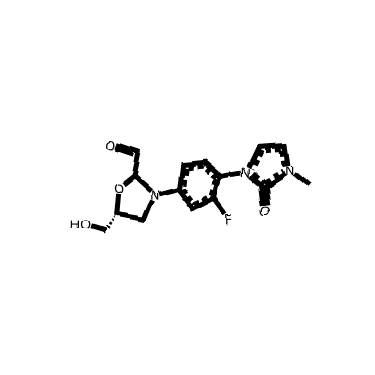 Cn1ccn(-c2ccc(N3C[C@H](CO)OC3C=O)cc2F)c1=O